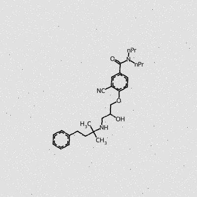 CCCN(CCC)C(=O)c1ccc(OCC(O)CNC(C)(C)CCc2ccccc2)c(C#N)c1